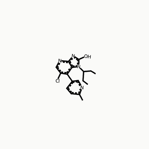 CCC(CC)n1c(O)nc2ncc(Cl)c(-c3ccc(C)nc3)c21